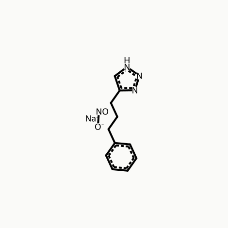 O=N[O-].[Na+].c1ccc(CCCc2c[nH]nn2)cc1